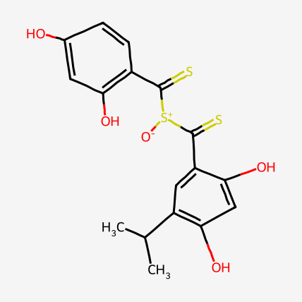 CC(C)c1cc(C(=S)[S+]([O-])C(=S)c2ccc(O)cc2O)c(O)cc1O